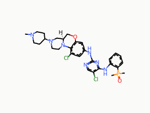 CN1CCC(N2CCN3c4c(Cl)cc(Nc5ncc(Cl)c(Nc6ccccc6P(C)(C)=O)n5)cc4OC[C@@H]3C2)CC1